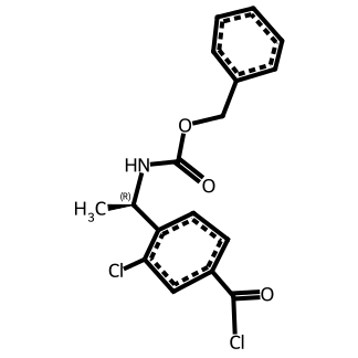 C[C@@H](NC(=O)OCc1ccccc1)c1ccc(C(=O)Cl)cc1Cl